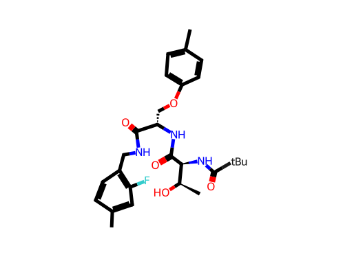 Cc1ccc(OC[C@H](NC(=O)[C@@H](NC(=O)C(C)(C)C)[C@@H](C)O)C(=O)NCc2ccc(C)cc2F)cc1